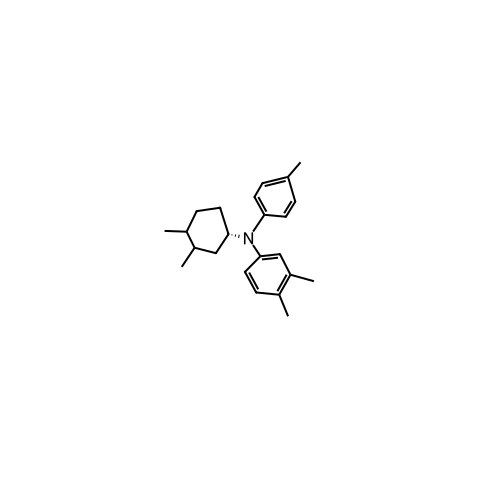 Cc1ccc(N(c2ccc(C)c(C)c2)[C@H]2CCC(C)C(C)C2)cc1